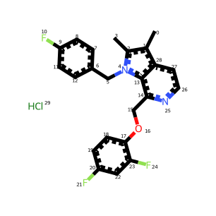 Cc1c(C)n(Cc2ccc(F)cc2)c2c(COc3ccc(F)cc3F)nccc12.Cl